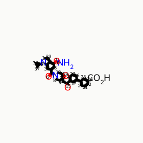 NOc1cc(C(=O)N2CCC3(CC2)CC(=O)c2cc(-c4cccc(C(=O)O)c4)ccc2O3)cc2c1ccn2C1CC1